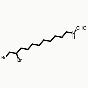 O=CNCCCCCCCCCC(Br)CBr